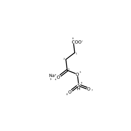 O=C([O-])CCC(=O)O[SH](=O)=O.[Na+]